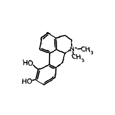 C[N+]1(C)CCc2cccc3c2C1Cc1ccc(O)c(O)c1-3